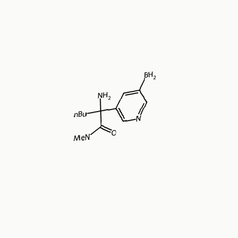 Bc1cncc(C(N)(CCCC)C(=O)NC)c1